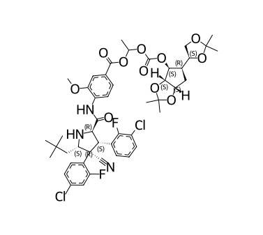 COc1cc(C(=O)OC(C)OC(=O)O[C@H]2[C@@H]([C@H]3COC(C)(C)O3)C[C@@H]3OC(C)(C)O[C@H]23)ccc1NC(=O)[C@@H]1N[C@@H](CC(C)(C)C)[C@](C#N)(c2ccc(Cl)cc2F)[C@H]1c1cccc(Cl)c1F